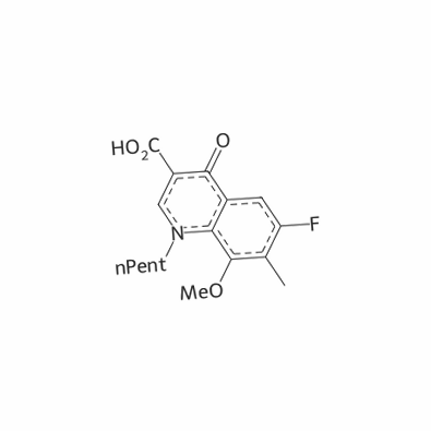 CCCCCn1cc(C(=O)O)c(=O)c2cc(F)c(C)c(OC)c21